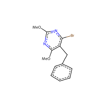 COc1nc(Br)c(Cc2ccccc2)c(OC)n1